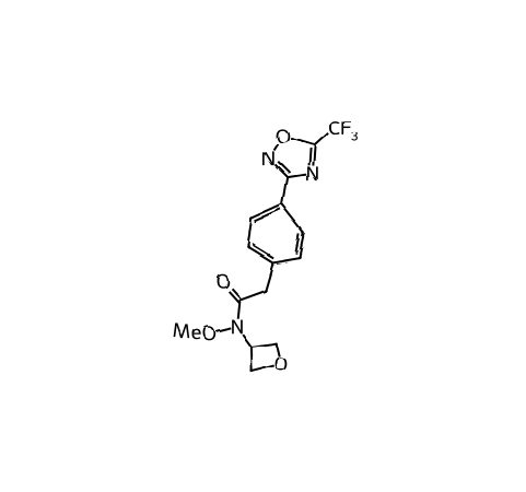 CON(C(=O)Cc1ccc(-c2noc(C(F)(F)F)n2)cc1)C1COC1